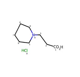 Cl.O=C(O)CCN1CCCCC1